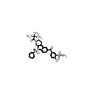 CC(C)(C)C(=O)N1CCc2c(n(S(=O)(=O)c3ccccc3)c3ccc(C(=O)c4ccc(Cl)c(S(N)(=O)=O)c4)cc23)C1